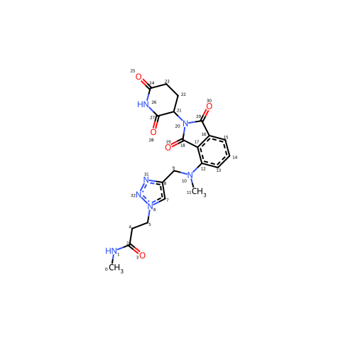 CNC(=O)CCn1cc(CN(C)c2cccc3c2C(=O)N(C2CCC(=O)NC2=O)C3=O)nn1